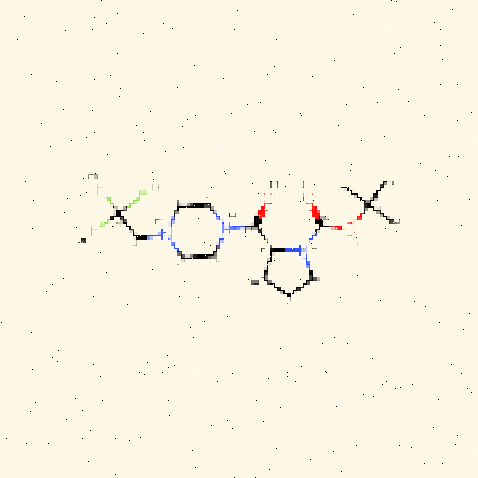 CC(C)(C)OC(=O)N1CCC[C@H]1C(=O)N1CCN(CC(F)(F)F)CC1